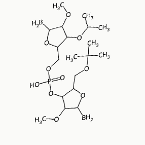 BC1OC(COP(=O)(O)OC2C(COC(C)(C)C)OC(B)C2OC)C(OC(C)C)C1OC